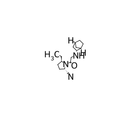 CC[C@@H]1CC[C@@H](C#N)N1C(=O)CN[C@@H]1C[C@@H]2CC[C@@H]1C2